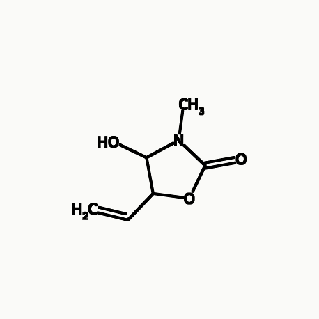 C=CC1OC(=O)N(C)C1O